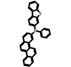 c1ccc(N(c2ccc3c(c2)sc2ccccc23)c2ccc3ccc4c5ccccc5ccc4c3c2)cc1